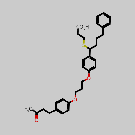 O=C(O)CCSC(CCCc1ccccc1)c1ccc(OCCCOc2ccc(CCC(=O)C(F)(F)F)cc2)cc1